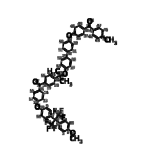 COc1ccc(C(c2ccc(Oc3ccc(C(=O)c4ccc(C(C)(C)Oc5ccc(-c6ccc(Oc7ccc(C(=O)c8ccc(C)cc8)cc7)cc6)cc5)cc4)cc3)cc2)(C(F)(F)F)C(F)(F)F)cc1